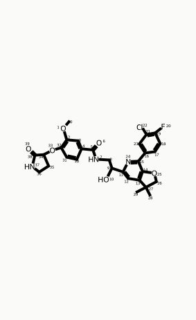 COc1cc(C(=O)NCC(O)c2cc3c(c(-c4ccc(F)c(Cl)c4)n2)OCC3(C)C)ccc1OC1CCNC1=O